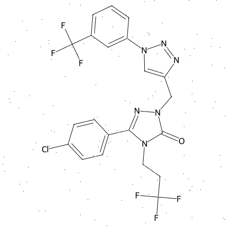 O=c1n(Cc2cn(-c3cccc(C(F)(F)F)c3)nn2)nc(-c2ccc(Cl)cc2)n1CCC(F)(F)F